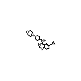 c1nc(NC2CCC(N3CCOCC3)CC2)c2cc(C3CC3)ccc2n1